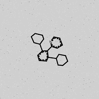 c1ccc(-c2c(C3CCCCC3)cccc2C2CCCCC2)nc1